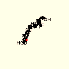 Cc1c(Nc2nc(C(F)F)nc3cc(CN4CCC(O)C4)cnc23)cccc1-c1cccc(-c2nc3cc(CNCC45CCC(C(=O)O)(CC4)C5)c(C4CC4)cc3o2)c1C